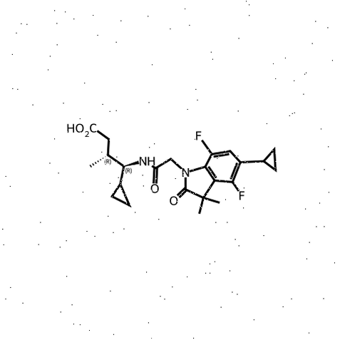 C[C@H](CC(=O)O)[C@@H](NC(=O)CN1C(=O)C(C)(C)c2c(F)c(C3CC3)cc(F)c21)C1CC1